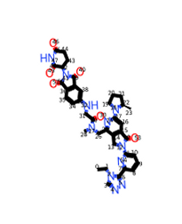 CCn1cnnc1-c1cccc(N2Cc3c(cc(N4CCC[C@H]4C)nc3CN(C)C(=O)CNc3ccc4c(c3)C(=O)N(C3CCC(=O)NC3=O)C4=O)C2=O)n1